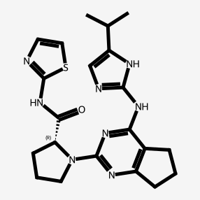 CC(C)c1cnc(Nc2nc(N3CCC[C@@H]3C(=O)Nc3nccs3)nc3c2CCC3)[nH]1